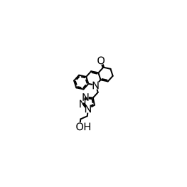 O=C1CCC=C2C1=Cc1ccccc1N2Cc1cn(CCO)nn1